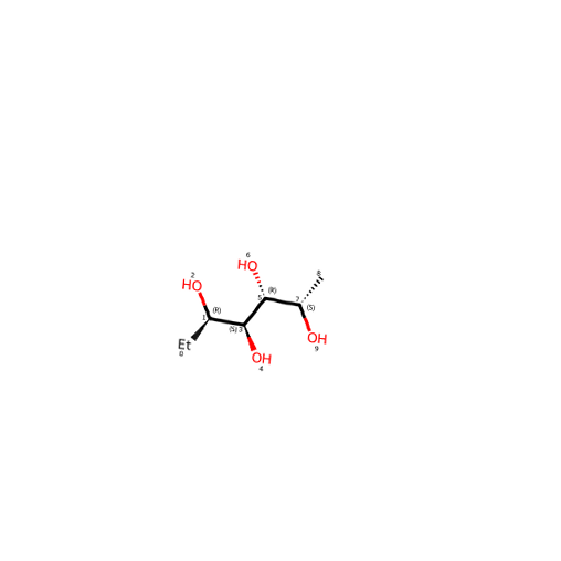 CC[C@@H](O)[C@H](O)[C@H](O)[C@H](C)O